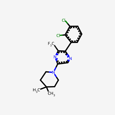 CC1(C)CCN(c2cnc(-c3cccc(Cl)c3Cl)c(C(F)(F)F)n2)CC1